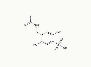 CC(=O)NCc1cc(O)c(S(=O)(=O)O)cc1O